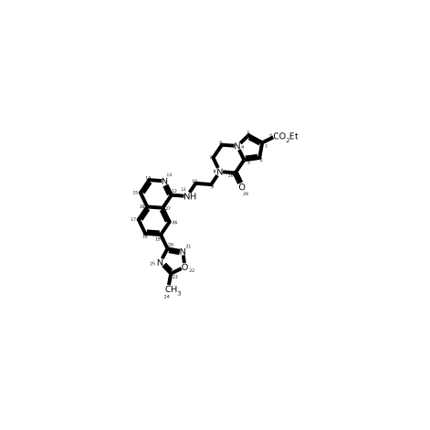 CCOC(=O)c1cc2n(c1)CCN(CCNc1nccc3ccc(-c4noc(C)n4)cc13)C2=O